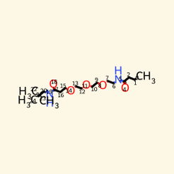 CCCC(=O)NCCOCCOCCOCCC(=O)NCC(C)(C)C